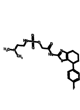 CN(C)CCNS(=O)(=O)OCC(=O)Nc1nc2c(s1)C(c1ccc(F)cc1)CCC2